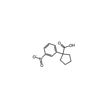 O=C(O)C1(c2cccc([N+](=O)[O-])c2)CCCC1